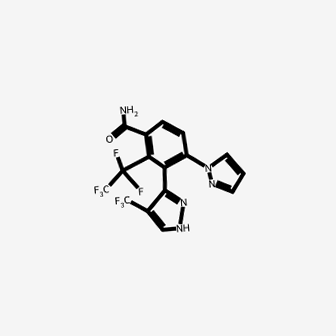 NC(=O)c1ccc(-n2cccn2)c(-c2n[nH]cc2C(F)(F)F)c1C(F)(F)C(F)(F)F